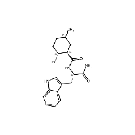 CC(C)[C@@H]1CC[C@@H](C)C[C@H]1C(=O)N[C@@H](Cc1c[nH]c2ccccc12)C(N)=O